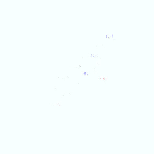 CCOc1ccc(CC(CNCCN)NC(=O)O)cc1